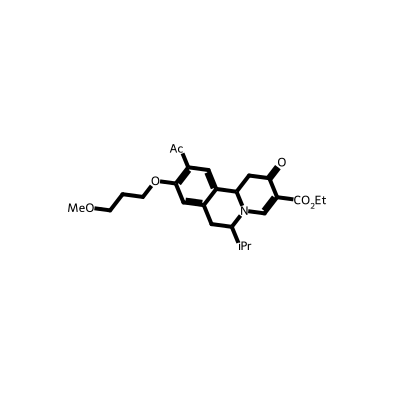 CCOC(=O)C1=CN2C(CC1=O)c1cc(C(C)=O)c(OCCCOC)cc1CC2C(C)C